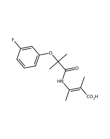 CC(NC(=O)C(C)(C)Oc1cccc(F)c1)=C(C)C(=O)O